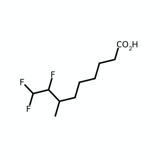 CC(CCCCCC(=O)O)C(F)C(F)F